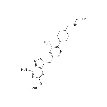 CCCC(C)Oc1nc(N)c2ncc(Cc3cnc(N4CCC(CNCC(C)C)CC4)c(C)c3)n2n1